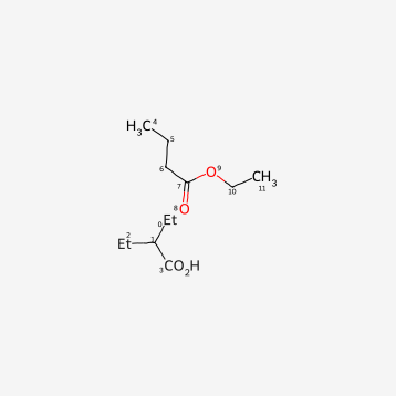 CCC(CC)C(=O)O.CCCC(=O)OCC